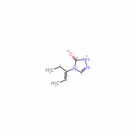 C/C=C(\CC)n1cn[nH]c1=O